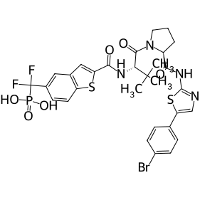 CC(C)(C)[C@H](NC(=O)c1cc2cc(C(F)(F)P(=O)(O)O)ccc2s1)C(=O)N1CCC[C@H]1C(=O)Nc1ncc(-c2ccc(Br)cc2)s1